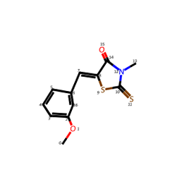 COc1cccc(/C=C2\SC(=S)N(C)C2=O)c1